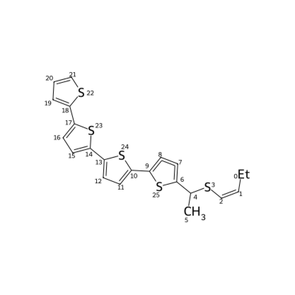 CC/C=C\SC(C)C1=C=C=C(c2ccc(-c3ccc(-c4cccs4)s3)s2)S1